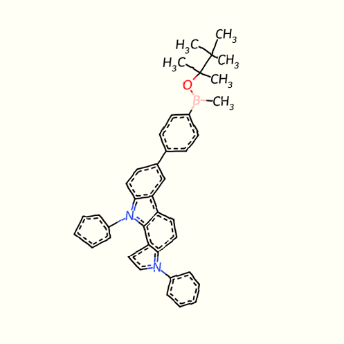 CB(OC(C)(C)C(C)(C)C)c1ccc(-c2ccc3c(c2)c2ccc4c(ccn4-c4ccccc4)c2n3-c2ccccc2)cc1